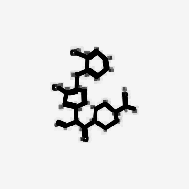 C=CC(C(=O)N1CCN(C(C)=O)CC1)c1ccc(Sc2ccccc2Cl)c(Cl)c1